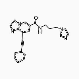 O=C(NCCCn1ccnc1)c1cc(C#Cc2ccccc2)c2nccn2c1